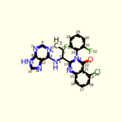 CCC(Nc1ncnc2[nH]cnc12)c1nc2cccc(Cl)c2c(=O)n1-c1c(F)cccc1F